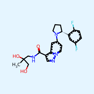 CC(O)(CO)CNC(=O)c1cnn2ccc(N3CCC[C@@H]3c3cc(F)ccc3F)cc12